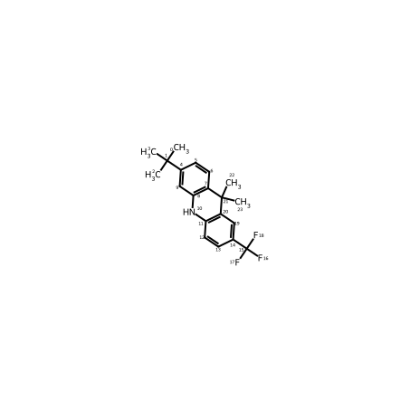 CC(C)(C)c1ccc2c(c1)Nc1ccc(C(F)(F)F)cc1C2(C)C